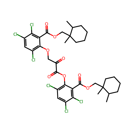 CC1CCCCC1(C)COC(=O)c1c(Cl)c(Cl)cc(Cl)c1OCC(=O)C(=O)Oc1c(Cl)cc(Cl)c(Cl)c1C(=O)OCC1(C)CCCCC1C